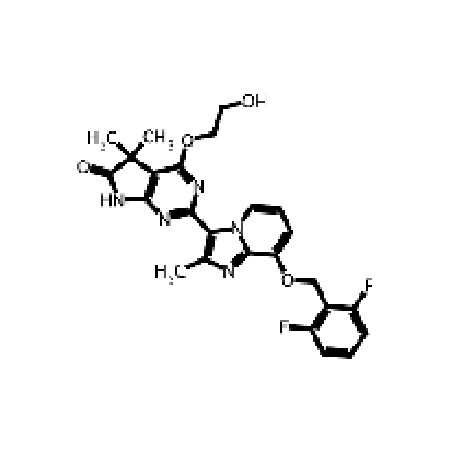 Cc1nc2c(OCc3c(F)cccc3F)cccn2c1-c1nc2c(c(OCCO)n1)C(C)(C)C(=O)N2